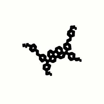 Cc1ccc(C=Cc2ccc(N(c3ccc(C)cc3)c3ccc4c5ccc(N(c6ccc(C)cc6)c6ccc(C=Cc7ccc(C)cc7)cc6)c6cccc(c7cccc3c74)c65)cc2)cc1